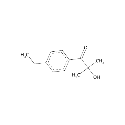 CCc1ccc(C(=O)C(C)(C)O)cc1